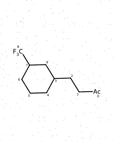 CC(=O)CCC1CCCC(C(F)(F)F)C1